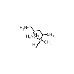 CC(CC(N)CN)[Si](C)(C)C